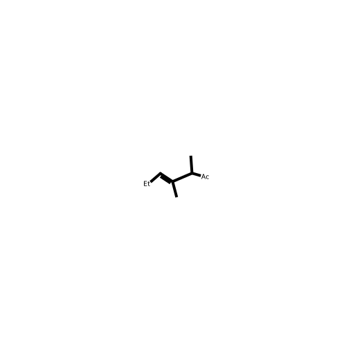 CC/C=C(\C)C(C)C(C)=O